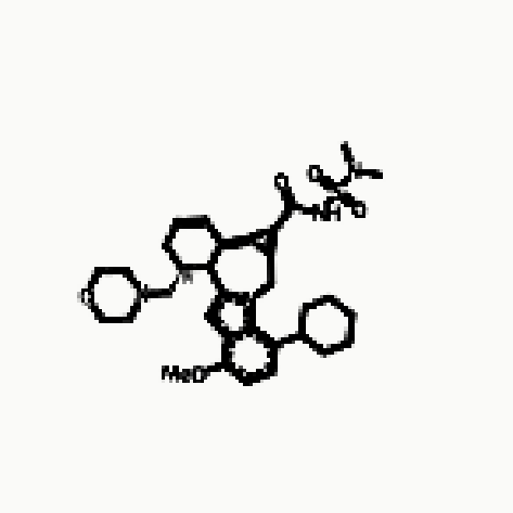 COc1ccc(C2CCCCC2)c2c1cc1n2CC2=C(C(=O)NS(=O)(=O)N(C)C)C2=C2C=CC[C@@H](CN3CCOCC3)C21